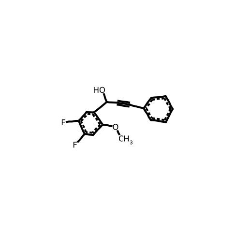 COc1cc(F)c(F)cc1C(O)C#Cc1ccccc1